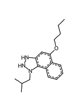 CCCCOc1cc2c(c3ccccc13)N(CC(C)C)NN2